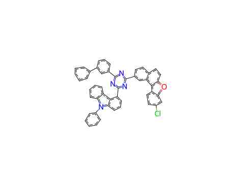 Clc1ccc2c(c1)oc1ccc3ccc(-c4nc(-c5cccc(-c6ccccc6)c5)nc(-c5cccc6c5c5ccccc5n6-c5ccccc5)n4)cc3c12